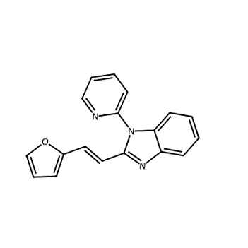 C(=C\c1nc2ccccc2n1-c1ccccn1)/c1ccco1